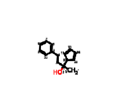 [CH2]C(O)(CCc1ccccc1)C1C=CC=C1